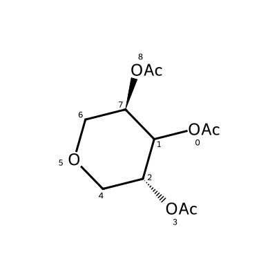 CC(=O)OC1[C@H](OC(C)=O)COC[C@H]1OC(C)=O